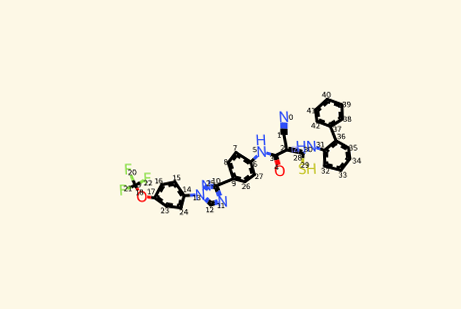 N#C/C(C(=O)Nc1ccc(-c2ncn(-c3ccc(OC(F)(F)F)cc3)n2)cc1)=C(/S)Nc1ccccc1-c1ccccc1